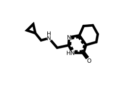 O=c1[nH]c(CNCC2CC2)nc2c1CCCC2